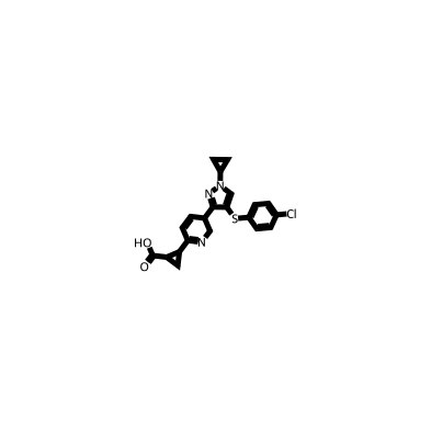 O=C(O)C1CC1C1=NCC(c2nn(C3CC3)cc2Sc2ccc(Cl)cc2)C=C1